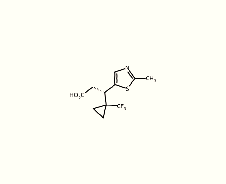 Cc1ncc([C@@H](CC(=O)O)C2(C(F)(F)F)CC2)s1